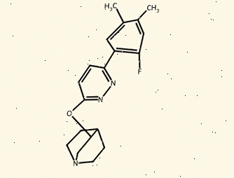 Cc1cc(F)c(-c2ccc(OC3CN4CCC3CC4)nn2)cc1C